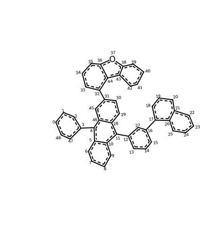 c1ccc(-c2c3ccccc3c(-c3cccc(-c4cccc5ccccc45)c3)c3ccc(-c4cccc5oc6ccccc6c45)cc23)cc1